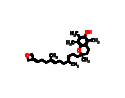 C/C(=C\CC/C(C)=C/CC[C@]1(C)CCc2c(C)c(O)c(C)c(C)c2O1)CCC=C1COC1